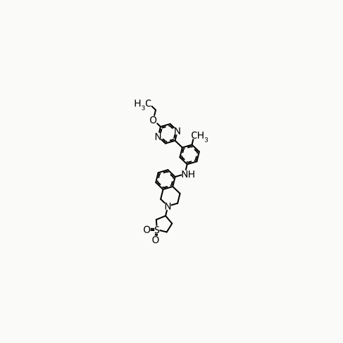 CCOc1cnc(-c2cc(Nc3cccc4c3CCN(C3CCS(=O)(=O)C3)C4)ccc2C)cn1